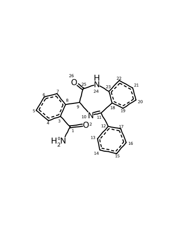 NC(=O)c1ccccc1C1N=C(c2ccccc2)c2ccccc2NC1=O